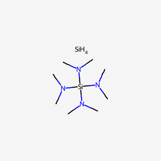 CN(C)[Si](N(C)C)(N(C)C)N(C)C.[SiH4]